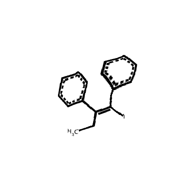 CCC(=C(I)c1ccccc1)c1ccccc1